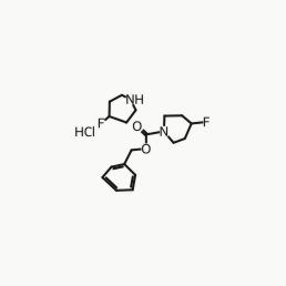 Cl.FC1CCNCC1.O=C(OCc1ccccc1)N1CCC(F)CC1